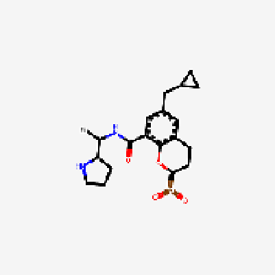 CCC(NC(=O)c1cc(CC2CC2)cc2c1OC(=S(=O)=O)CC2)C1CCCN1